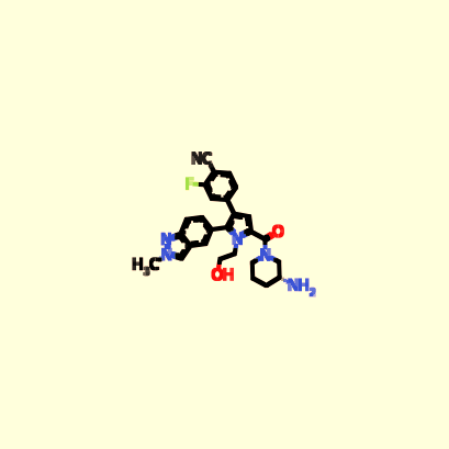 Cn1cc2cc(-c3c(-c4ccc(C#N)c(F)c4)cc(C(=O)N4CCC[C@@H](N)C4)n3CCO)ccc2n1